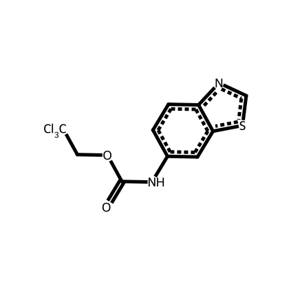 O=C(Nc1ccc2ncsc2c1)OCC(Cl)(Cl)Cl